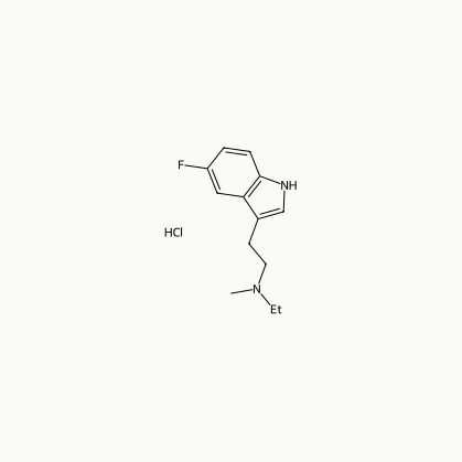 CCN(C)CCc1c[nH]c2ccc(F)cc12.Cl